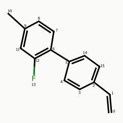 C=Cc1ccc(-c2ccc(C)cc2F)cc1